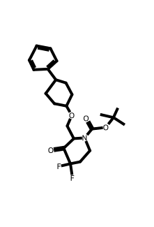 CC(C)(C)OC(=O)N1CCC(F)(F)C(=O)C1COC1CCC(c2ccccc2)CC1